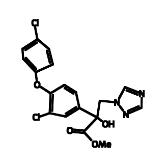 COC(=O)C(O)(Cn1cncn1)c1ccc(Oc2ccc(Cl)cc2)c(Cl)c1